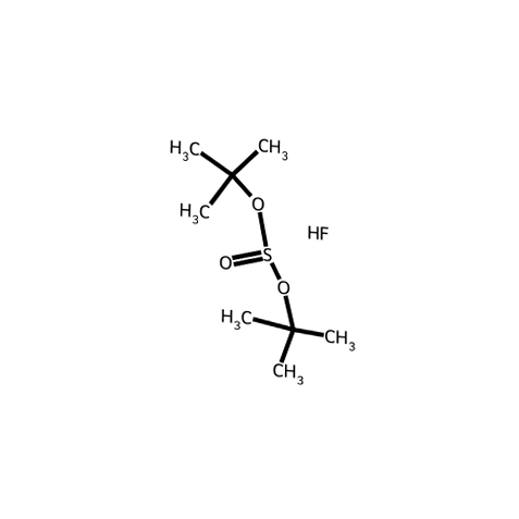 CC(C)(C)OS(=O)OC(C)(C)C.F